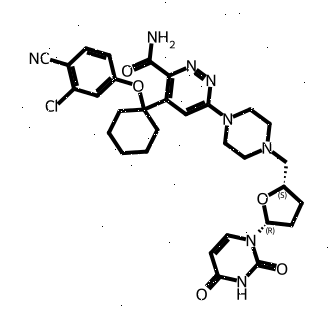 N#Cc1ccc(OC2(c3cc(N4CCN(C[C@@H]5CC[C@H](n6ccc(=O)[nH]c6=O)O5)CC4)nnc3C(N)=O)CCCCC2)cc1Cl